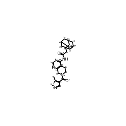 Cc1oncc1C(=O)N1CCc2c(ncnc2NC(=O)CC23CC4CC(CC(C4)C2)C3)C1